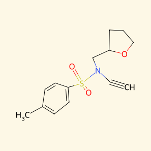 C#CN(CC1CCCO1)S(=O)(=O)c1ccc(C)cc1